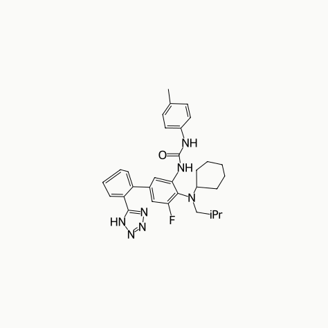 Cc1ccc(NC(=O)Nc2cc(-c3ccccc3-c3nnn[nH]3)cc(F)c2N(CC(C)C)C2CCCCC2)cc1